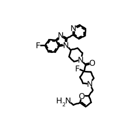 NCC1=CCC(CN2CCC(F)(C(=O)N3CCC(n4c(-c5ccccn5)nc5cc(F)ccc54)CC3)CC2)O1